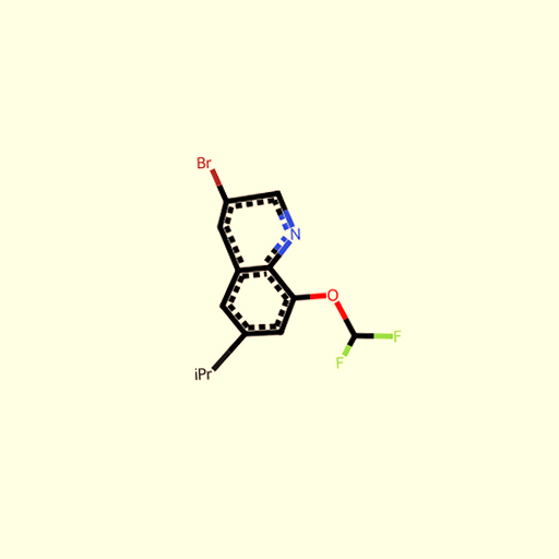 CC(C)c1cc(OC(F)F)c2ncc(Br)cc2c1